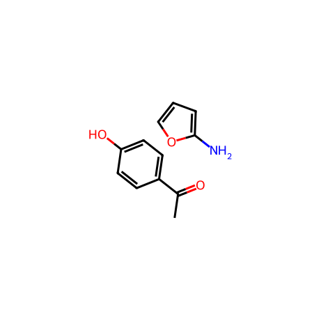 CC(=O)c1ccc(O)cc1.Nc1ccco1